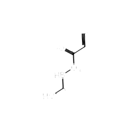 C=CC(=O)OBCO